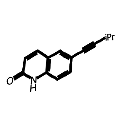 CC(C)C#Cc1ccc2[nH]c(=O)ccc2c1